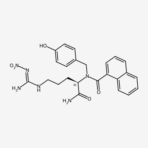 NC(=O)[C@@H](CCCNC(N)=N[N+](=O)[O-])N(Cc1ccc(O)cc1)C(=O)c1cccc2ccccc12